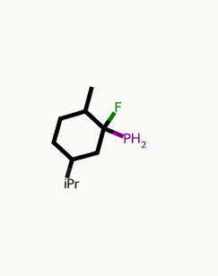 CC(C)C1CCC(C)C(F)(P)C1